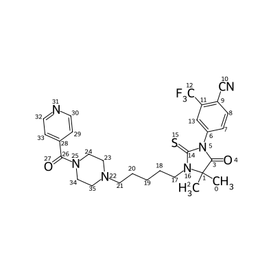 CC1(C)C(=O)N(c2ccc(C#N)c(C(F)(F)F)c2)C(=S)N1CCCCCN1CCN(C(=O)c2ccncc2)CC1